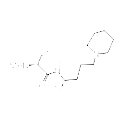 CN[C@H](C(=O)N[C@@H](CCCN1CCCCC1)C(C)=O)C(C)C